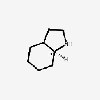 [CH]1CC2CCCC[C@@H]2N1